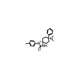 Cc1ccc(N2C[C@]3(CC[C@](c4ccccc4)(N(C)C)CC3)NC2=O)cc1